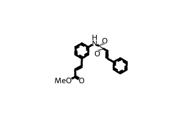 COC(=O)C=Cc1cccc(NS(=O)(=O)C=Cc2ccccc2)c1